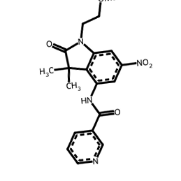 COCCN1C(=O)C(C)(C)c2c(NC(=O)c3cccnc3)cc([N+](=O)[O-])cc21